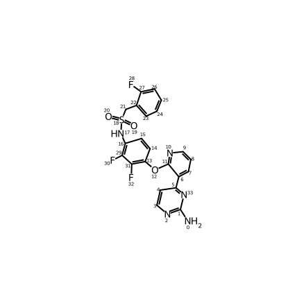 Nc1nccc(-c2cccnc2Oc2ccc(NS(=O)(=O)Cc3ccccc3F)c(F)c2F)n1